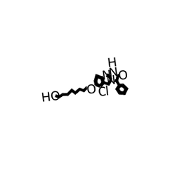 O=C1NC2=Nc3ccc(OCCCCCCCCO)c(Cl)c3CN2C1c1ccccc1